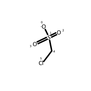 [O]S(=O)(=O)CCl